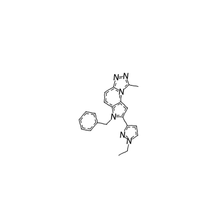 CCn1ccc(-c2cc3c(ccc4nnc(C)n43)n2Cc2ccccc2)n1